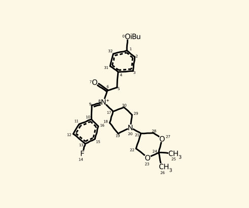 CC(C)COc1ccc(CC(=O)[N+](=Cc2ccc(F)cc2)C2CCN(C3COC(C)(C)OC3)CC2)cc1